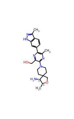 Cc1nc(N2CCC3(CC2)CO[C@@H](C)[C@H]3N)c(CO)nc1-c1ccc2c(C)n[nH]c2c1